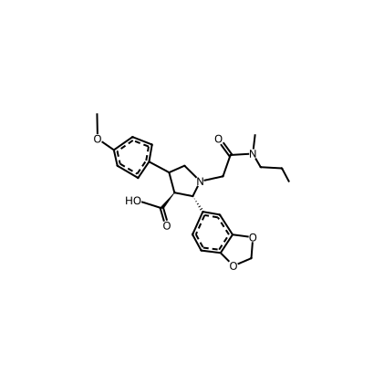 CCCN(C)C(=O)CN1CC(c2ccc(OC)cc2)[C@H](C(=O)O)[C@H]1c1ccc2c(c1)OCO2